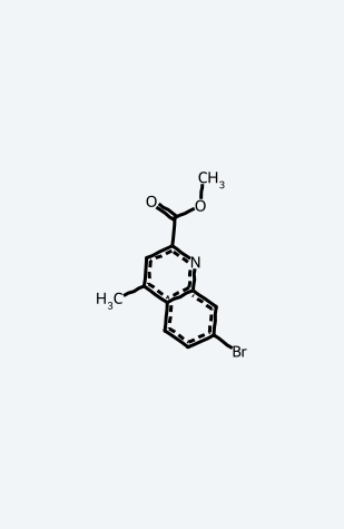 COC(=O)c1cc(C)c2ccc(Br)cc2n1